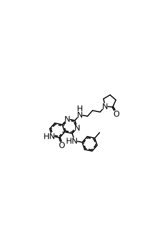 Cc1cccc(Nc2nc(NCCCN3CCCC3=O)nc3cc[nH]c(=O)c23)c1